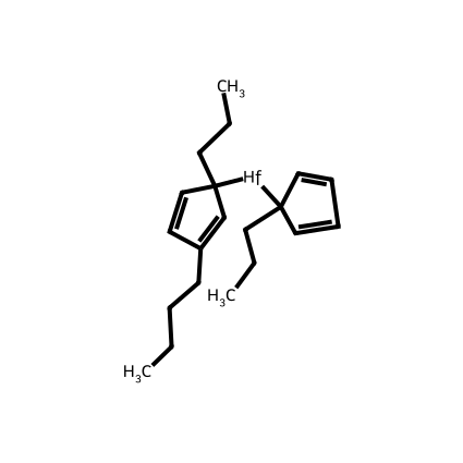 CCCCC1=C[C](CCC)([Hf][C]2(CCC)C=CC=C2)C=C1